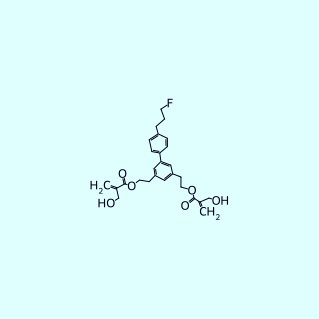 C=C(CO)C(=O)OCCc1cc(CCOC(=O)C(=C)CO)cc(-c2ccc(CCCF)cc2)c1